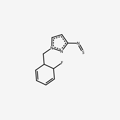 FC1C=CC=CC1Cn1ccc(N=S)n1